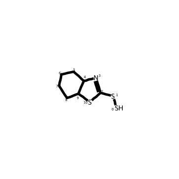 SSC1=NC2CCCCC2S1